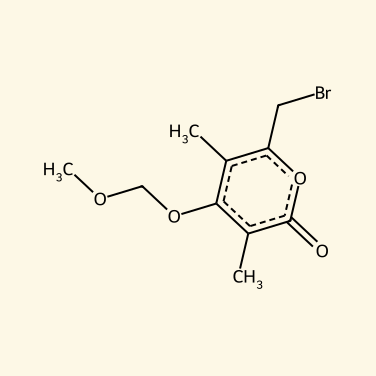 COCOc1c(C)c(CBr)oc(=O)c1C